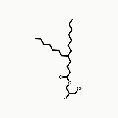 [CH2]C(CO)COC(=O)CCCC(CCCCCCC)CCCCCCC